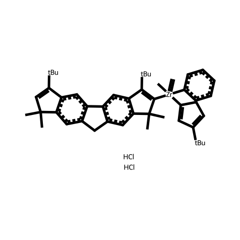 Cl.Cl.[CH2]=[Zr]([CH3])([C]1=CC(C(C)(C)C)=CC1)([C]1=C(C(C)(C)C)c2cc3c(cc2C1(C)C)Cc1cc2c(cc1-3)C(C(C)(C)C)=CC2(C)C)[c]1ccccc1